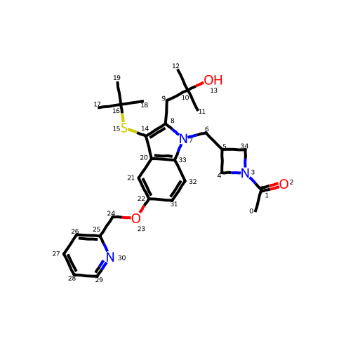 CC(=O)N1CC(Cn2c(CC(C)(C)O)c(SC(C)(C)C)c3cc(OCc4ccccn4)ccc32)C1